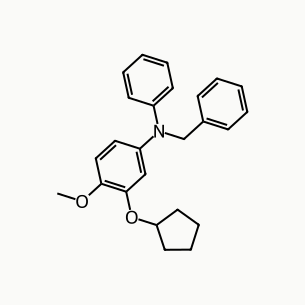 COc1ccc(N(Cc2ccccc2)c2ccccc2)cc1OC1CCCC1